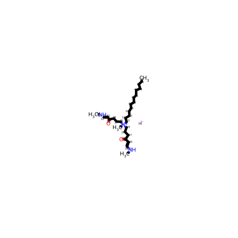 CCCCCCCCCCCCCC[N+](C)(CCCC(=O)C=CNC)CCCC(=O)C=CNC.[I-]